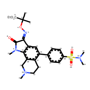 CCOC(=O)C(C)(C)ON=C1C(=O)N(C)c2c1cc(-c1ccc(S(=O)(=O)N(C)C)cc1)c1c2CN(C)CC1